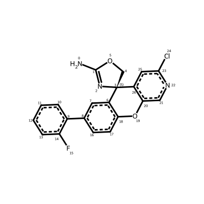 NC1=N[C@@]2(CO1)c1cc(-c3ccccc3F)ccc1Oc1cnc(Cl)cc12